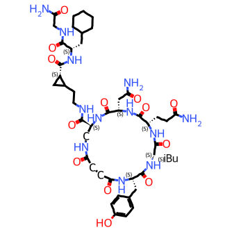 CC[C@H](C)[C@@H]1NC(=O)[C@H](Cc2ccc(O)cc2)NC(=O)CCC(=O)NC[C@@H](C(=O)NCCC2C[C@@H]2C(=O)N[C@@H](CC2CCCCC2)C(=O)NCC(N)=O)NC(=O)[C@H](CC(N)=O)NC(=O)[C@H](CCC(N)=O)NC1=O